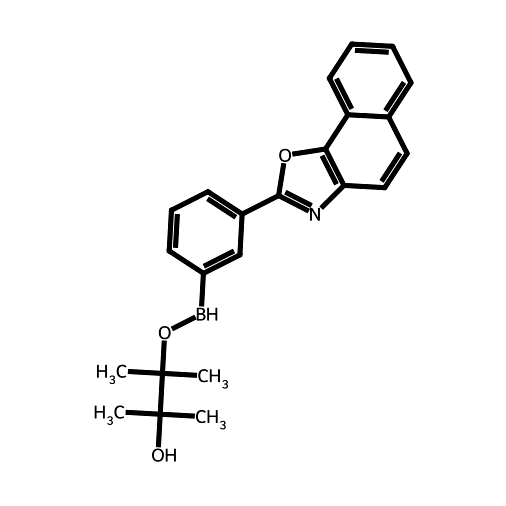 CC(C)(O)C(C)(C)OBc1cccc(-c2nc3ccc4ccccc4c3o2)c1